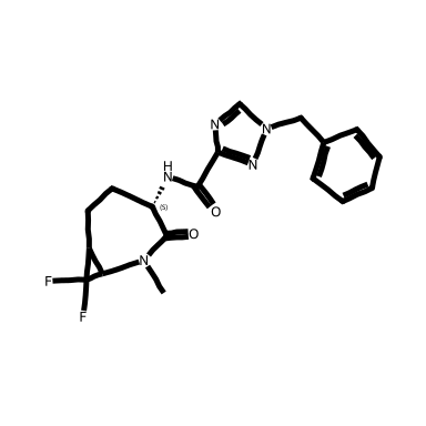 CN1C(=O)[C@@H](NC(=O)c2ncn(Cc3ccccc3)n2)CCC2C1C2(F)F